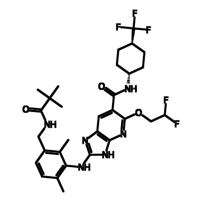 Cc1ccc(CNC(=O)C(C)(C)C)c(C)c1Nc1nc2cc(C(=O)N[C@H]3CC[C@H](C(F)(F)F)CC3)c(OCC(F)F)nc2[nH]1